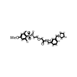 COc1cc(C)c(S(=O)(=O)N(C)CCOCC(=O)NCc2cccc(CN3CCCC3)c2)c(C)c1